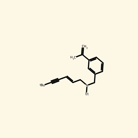 C=C(C)c1cccc(CN(CC)CC=CC#CC(C)(C)C)c1